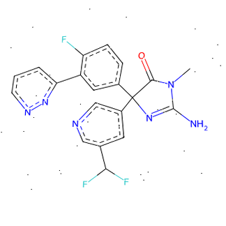 CN1C(=O)C(c2cncc(C(F)F)c2)(c2ccc(F)c(-c3cccnn3)c2)N=C1N